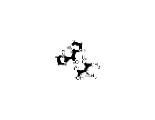 CC(C)[C@H](N)C(=O)O.O=C(c1ncc[nH]1)c1ncc[nH]1